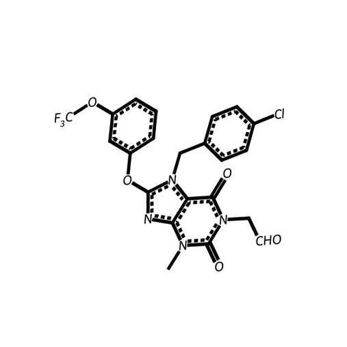 Cn1c(=O)n(CC=O)c(=O)c2c1nc(Oc1cccc(OC(F)(F)F)c1)n2Cc1ccc(Cl)cc1